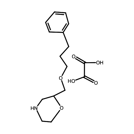 O=C(O)C(=O)O.c1ccc(CCCOCC2CNCCO2)cc1